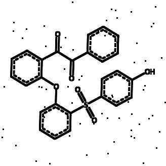 O=C(C(=O)c1ccccc1Oc1ccccc1S(=O)(=O)c1ccc(O)cc1)c1ccccc1